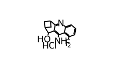 Cl.Nc1c2c(nc3cccc(F)c13)C1CC(C1)C2O